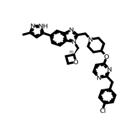 Cc1cc(-c2ccc3c(c2)nc(CN2CCC(Oc4ccnc(Cc5ccc(Cl)cc5)n4)CC2)n3C[C@@H]2CCO2)[nH]n1